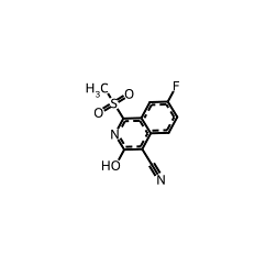 CS(=O)(=O)c1nc(O)c(C#N)c2ccc(F)cc12